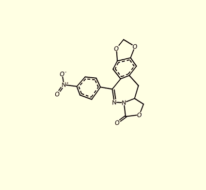 O=C1OCC2Cc3cc4c(cc3C(c3ccc([N+](=O)[O-])cc3)=NN12)OCO4